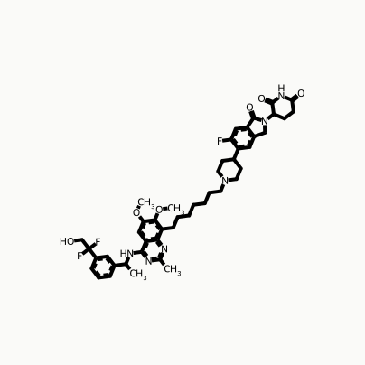 COc1cc2c(NC(C)c3cccc(C(F)(F)CO)c3)nc(C)nc2c(CCCCCCCN2CCC(c3cc4c(cc3F)C(=O)N(C3CCC(=O)NC3=O)C4)CC2)c1OC